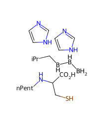 BBBCC(C)C.CCCCCNC(CS)C(=O)O.c1c[nH]cn1.c1c[nH]cn1